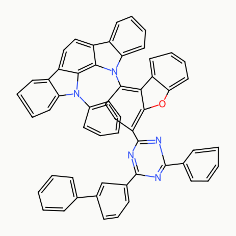 c1ccc(-c2cccc(-c3nc(-c4ccccc4)nc(-c4ccc(-n5c6ccccc6c6ccc7c8ccccc8n(-c8ccccc8)c7c65)c5c4oc4ccccc45)n3)c2)cc1